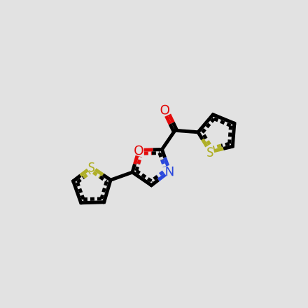 O=C(c1ncc(-c2cccs2)o1)c1cccs1